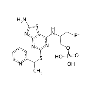 CC(C)CC(COP(=O)(O)O)Nc1nc(SC(C)c2ccccn2)nc2nc(N)sc12